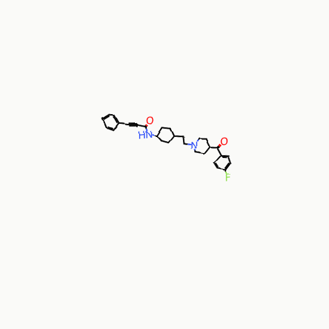 O=C(C#Cc1ccccc1)NC1CCC(CCN2CCC(C(=O)c3ccc(F)cc3)CC2)CC1